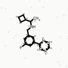 CC(NCc1cc(F)cc(-c2nncnn2)c1)C1CCC1